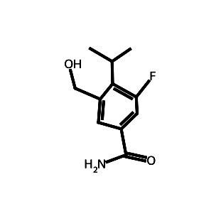 CC(C)c1c(F)cc(C(N)=O)cc1CO